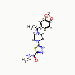 CNC(=O)c1nnc(N2CCN([C@@H](C)c3ccc4c(c3)OCO4)CC2)s1